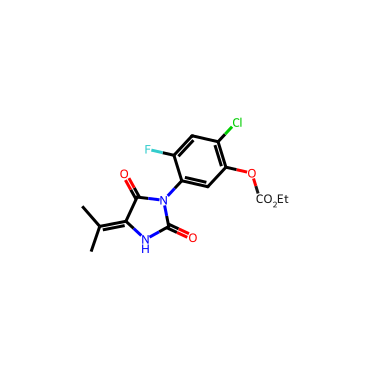 CCOC(=O)Oc1cc(N2C(=O)NC(=C(C)C)C2=O)c(F)cc1Cl